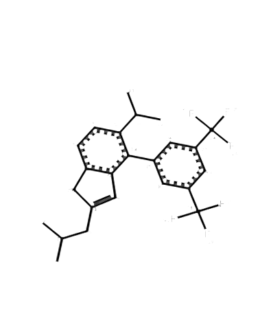 CC(C)CC1=Cc2c(ccc(C(C)C)c2-c2cc(C(F)(F)F)cc(C(F)(F)F)c2)[CH]1